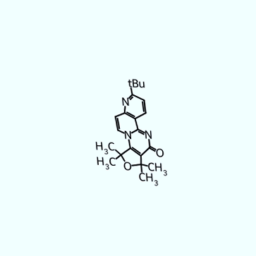 CC(C)(C)c1ccc2c(ccn3c4c(c(=O)nc23)C(C)(C)OC4(C)C)n1